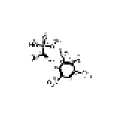 CCOP(=O)(O)C(N)=O.Cc1cc([N+](=O)[O-])cc([N+](=O)[O-])c1O